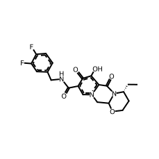 CC[C@@H]1CCOC2Cn3cc(C(=O)NCc4ccc(F)c(F)c4)c(=O)c(O)c3C(=O)N21